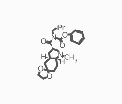 CC(C)CN(C(=O)Oc1ccccc1)C(=O)[C@@H]1C[C@@H]2CC3(CC[C@H]2N(C)C1)OCCO3